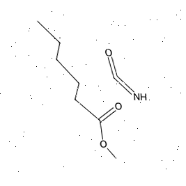 CCCCCC(=O)OC.N=C=O